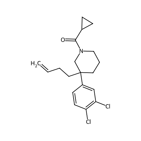 C=CCCC1(c2ccc(Cl)c(Cl)c2)CCCN(C(=O)C2CC2)C1